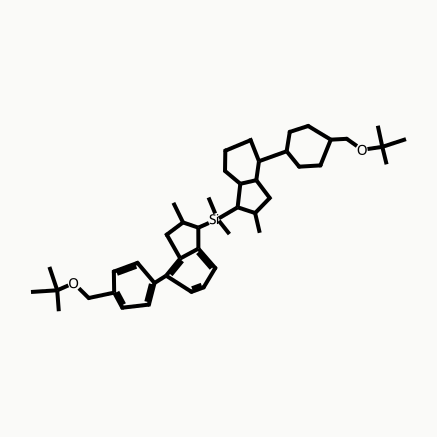 CC1Cc2c(-c3ccc(COC(C)(C)C)cc3)cccc2C1[Si](C)(C)C1C(C)CC2C(C3CCC(COC(C)(C)C)CC3)CCCC21